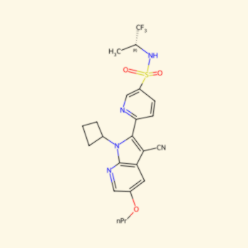 CCCOc1cnc2c(c1)c(C#N)c(-c1ccc(S(=O)(=O)N[C@H](C)C(F)(F)F)cn1)n2C1CCC1